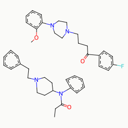 CCC(=O)N(c1ccccc1)C1CCN(CCc2ccccc2)CC1.COc1ccccc1N1CCN(CCCC(=O)c2ccc(F)cc2)CC1